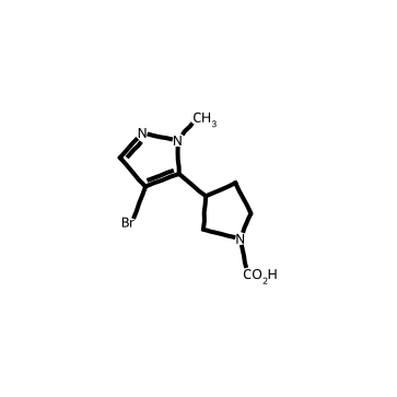 Cn1ncc(Br)c1C1CCN(C(=O)O)C1